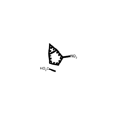 CC(=O)O.O=[N+]([O-])c1ccc2cc1-2